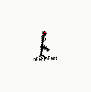 CCCCCC(CCCCC)CCOC(=O)CCCCCCCC(CCCCCC(=O)OCCC12CCC(CC1)CC2)OC(=O)CCCN(C)C